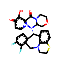 O=C1c2c(O)c(=O)ccn2N([C@H]2c3ccc(F)c(F)c3CN3CCSc4cccc2c43)C2COCCN12